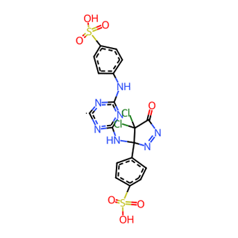 O=C1N=NC(Nc2n[c]nc(Nc3ccc(S(=O)(=O)O)cc3)n2)(c2ccc(S(=O)(=O)O)cc2)C1(Cl)Cl